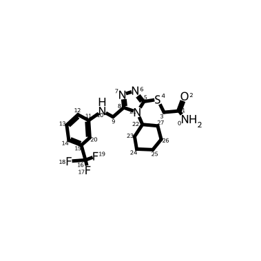 NC(=O)CSc1nnc(CNc2cccc(C(F)(F)F)c2)n1C1CCCCC1